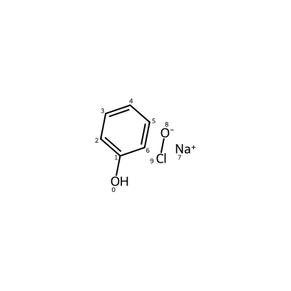 Oc1ccccc1.[Na+].[O-]Cl